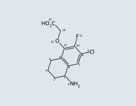 NC1CCCc2c1cc(Cl)c(F)c2OCC(=O)O